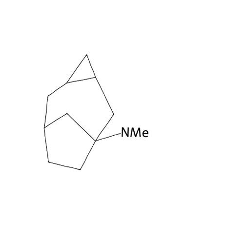 CNC12CCC(CC3CC3C1)C2